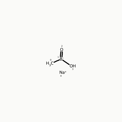 C[B-](=O)O.[Na+]